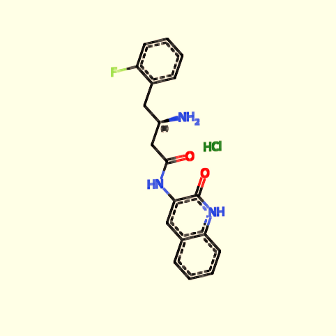 Cl.N[C@@H](CC(=O)Nc1cc2ccccc2[nH]c1=O)Cc1ccccc1F